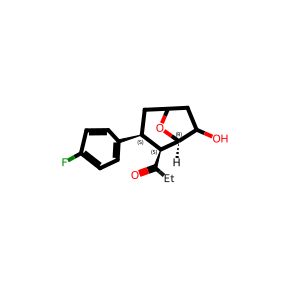 CCC(=O)[C@H]1[C@@H](c2ccc(F)cc2)CC2CC(O)[C@@H]1O2